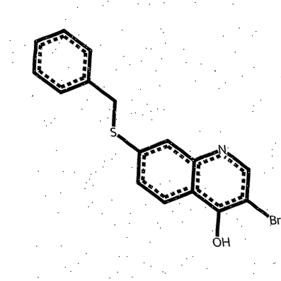 Oc1c(Br)cnc2cc(SCc3ccccc3)ccc12